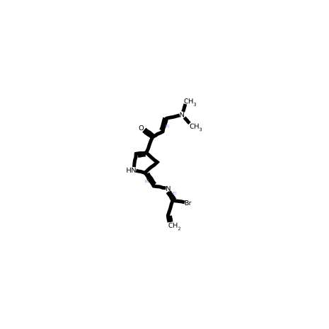 C=C/C(Br)=N\C=C1/CC(C(=O)/C=C/N(C)C)=CN1